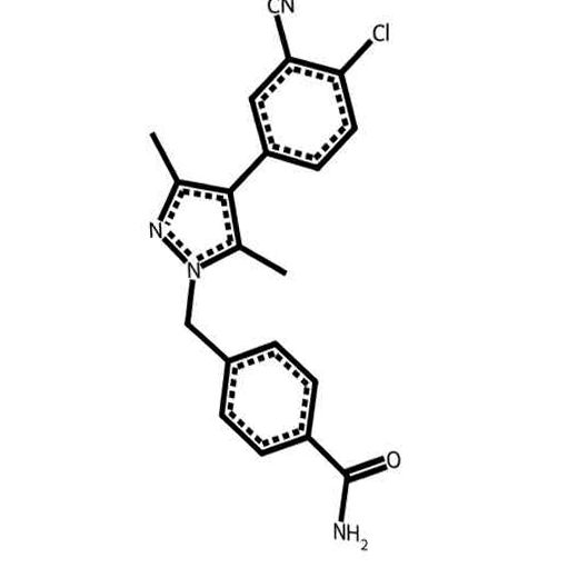 Cc1nn(Cc2ccc(C(N)=O)cc2)c(C)c1-c1ccc(Cl)c(C#N)c1